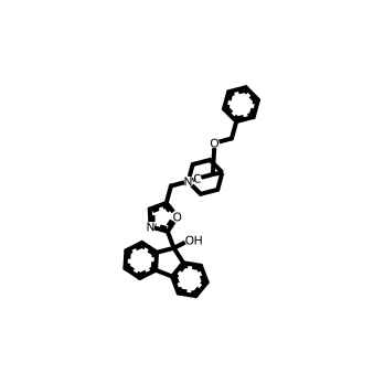 OC1(c2ncc(C[N+]34CCC(CC3)C(OCc3ccccc3)C4)o2)c2ccccc2-c2ccccc21